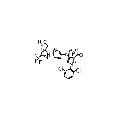 CCc1nc(C(F)(F)F)nn1-c1ccc(Nc2cn(-c3c(Cl)cccc3Cl)nc2C(N)=O)cn1